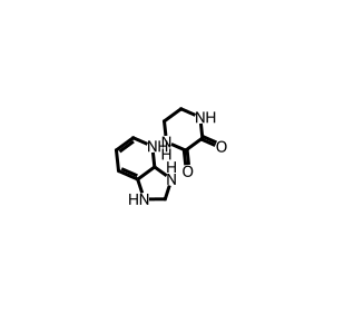 C1=CNC2NCNC2=C1.O=C1NCCNC1=O